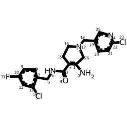 NC1=C(C(=O)NCc2ccc(F)cc2Cl)CCN(Cc2ccc(Cl)nc2)C1